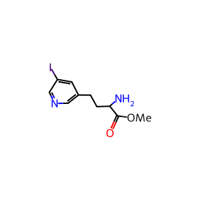 COC(=O)C(N)CCc1cncc(I)c1